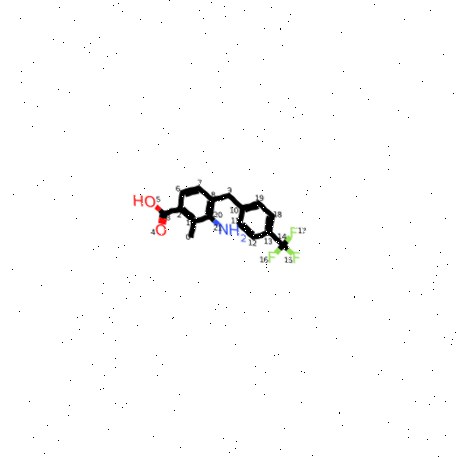 Cc1c(C(=O)O)ccc(Cc2ccc(C(F)(F)F)cc2)c1N